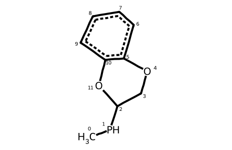 CPC1COc2ccccc2O1